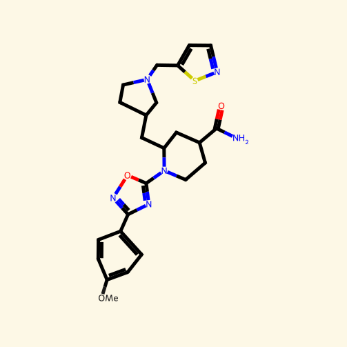 COc1ccc(-c2noc(N3CCC(C(N)=O)CC3CC3CCN(Cc4ccns4)C3)n2)cc1